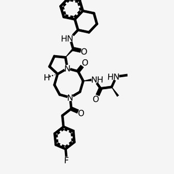 CN[C@@H](C)C(=O)N[C@H]1CN(C(=O)Cc2ccc(F)cc2)CC[C@H]2CC[C@@H](C(=O)NC3CCCc4ccccc43)N2C1=O